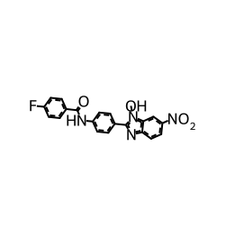 O=C(Nc1ccc(-c2nc3ccc([N+](=O)[O-])cc3n2O)cc1)c1ccc(F)cc1